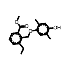 CCc1cccc(C(=O)OC)c1COc1cc(C)c(O)cc1C